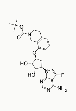 CC(C)(C)OC(=O)N1CCc2cccc(O[C@H]3C[C@@H](n4cc(F)c5c(N)ncnc54)[C@H](O)[C@@H]3O)c2C1